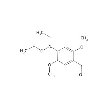 CCON(CC)c1cc(OC)c(C=O)cc1OC